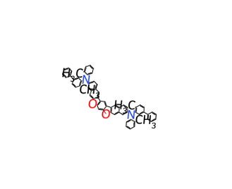 Cc1ccccc1N(c1ccc2cc3c(cc2c1)oc1cc2oc4cc5cc(N(c6ccccc6C)c6cc(-c7ccccc7)ccc6C)ccc5cc4c2cc13)c1cc(-c2ccccc2)ccc1C